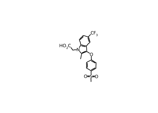 Cc1c(Oc2ccc(S(C)(=O)=O)cc2)c2cc(C(F)(F)F)ccc2n1CC(=O)O